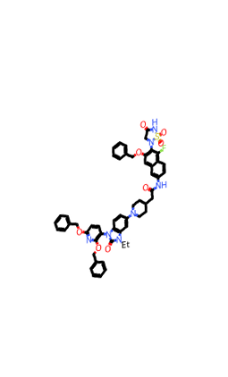 CCn1c(=O)n(-c2ccc(OCc3ccccc3)nc2OCc2ccccc2)c2ccc(N3CCC(CC(=O)Nc4ccc5c(F)c(N6CC(=O)NS6(=O)=O)c(OCc6ccccc6)cc5c4)CC3)cc21